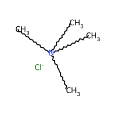 CCCCCCCCCCCCCCCCCC[N+](CCCCCCCCCCCCCCCC)(CCCCCCCCCCCCCCCCCC)CCCCCCCCCCCCCCCCCC.[Cl-]